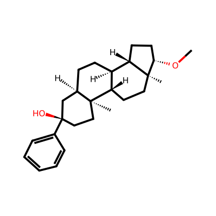 CO[C@H]1CC[C@H]2[C@@H]3CC[C@@H]4C[C@@](O)(c5ccccc5)CC[C@]4(C)[C@H]3CC[C@]12C